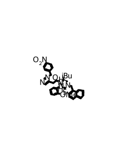 CC[C@H](C)[C@@H](CN(Cc1cccc2ccccc12)C(=S)Nc1ccccc1OC)NC(=O)Cc1cncn1Cc1ccc([N+](=O)[O-])cc1